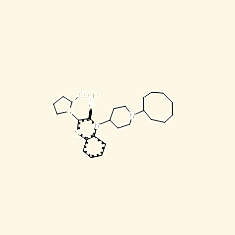 O=C(O)[C@@H]1CCCN1c1nc2ccccc2n(C2CCN(C3CCCCCCC3)CC2)c1=O